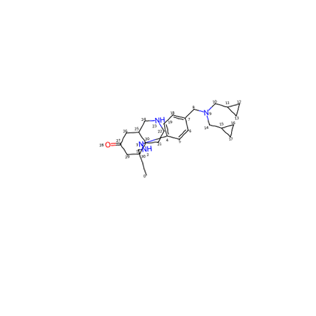 CC1NN(c2ccc(CN(CC3CC3)CC3CC3)cc2)C23CCNCC2CC(=O)CC13